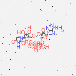 CO[C@@H]1[C@H](OCOC[C@H]2O[C@@H](n3ccc(=O)[nH]c3=O)[C@H](O)[C@@H]2O)[C@@H](COP(=O)(O)OP(=O)(O)OP(=O)(O)O)O[C@H]1n1cnc2c(N)ncnc21